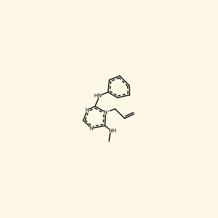 C=CC[n+]1c(NC)ncnc1Nc1ccccc1